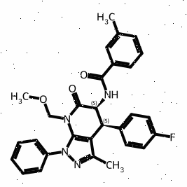 COCN1C(=O)[C@@H](NC(=O)c2cccc(C)c2)[C@@H](c2ccc(F)cc2)c2c(C)nn(-c3ccccc3)c21